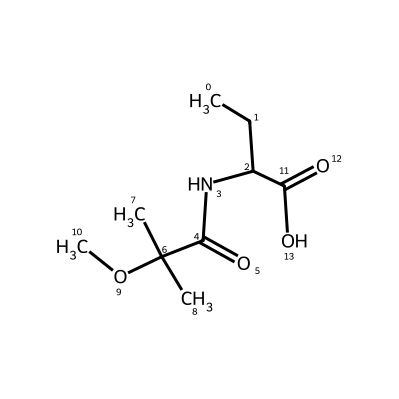 CCC(NC(=O)C(C)(C)OC)C(=O)O